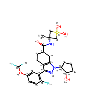 CC1(NC(=O)C2CCc3c(-c4cc(OC(F)F)ccc4F)nn([C@H]4CCC[C@@H]4O)c3C2)CS(O)(O)C1